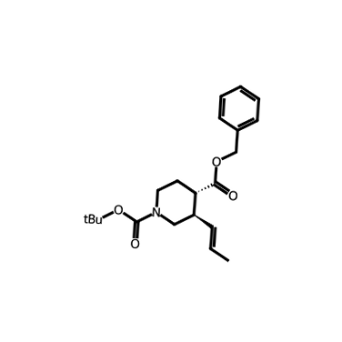 CC=C[C@H]1CN(C(=O)OC(C)(C)C)CC[C@@H]1C(=O)OCc1ccccc1